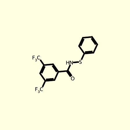 O=C(NSc1ccccc1)c1cc(C(F)(F)F)cc(C(F)(F)F)c1